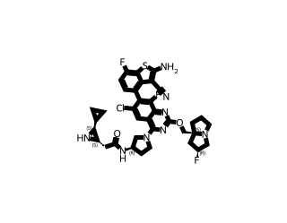 N#Cc1c(N)sc2c(F)ccc(-c3c(Cl)cc4c(N5CC[C@@H](NC(=O)C[C@@H]6N[C@H]6C6CC6)C5)nc(OC[C@@]56CCCN5C[C@H](F)C6)nc4c3F)c12